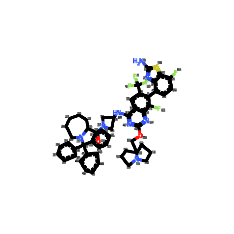 Nc1nc2c(-c3c(C(F)(F)F)cc4c(NC5CN(C(=O)C6CCCCCN6C(c6ccccc6)(c6ccccc6)c6ccccc6)C5)nc(OCC56CCCN5CCC6)nc4c3F)ccc(F)c2s1